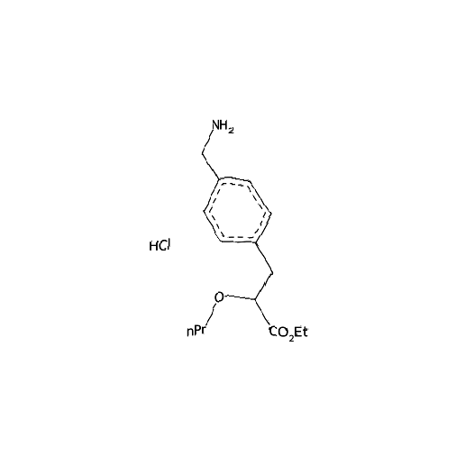 CCCOC(Cc1ccc(CN)cc1)C(=O)OCC.Cl